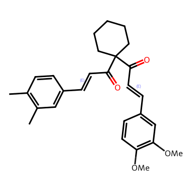 COc1ccc(/C=C/C(=O)C2(C(=O)/C=C/c3ccc(C)c(C)c3)CCCCC2)cc1OC